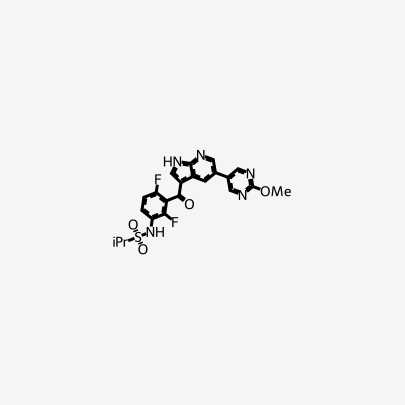 COc1ncc(-c2cnc3[nH]cc(C(=O)c4c(F)ccc(NS(=O)(=O)C(C)C)c4F)c3c2)cn1